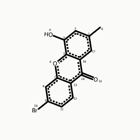 Cc1cc(O)c2oc3cc(Br)ccc3c(=O)c2c1